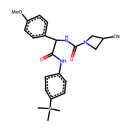 COc1ccc(C(NC(=O)N2CC(C#N)C2)C(=O)Nc2ccc([Si](C)(C)C)cc2)cc1